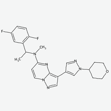 CC(c1cc(F)ccc1F)N(C)c1ccn2ncc(-c3cnn(C4CCOCC4)c3)c2n1